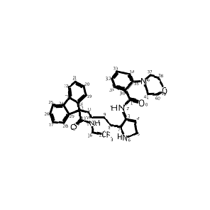 O=C(NC1CCNC1CCCCC1(C(=O)NCC(F)(F)F)c2ccccc2-c2ccccc21)c1ccccc1N1CCOCC1